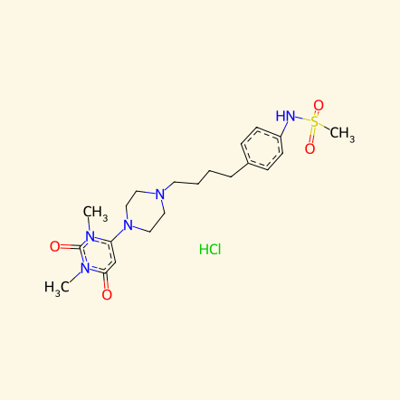 Cl.Cn1c(N2CCN(CCCCc3ccc(NS(C)(=O)=O)cc3)CC2)cc(=O)n(C)c1=O